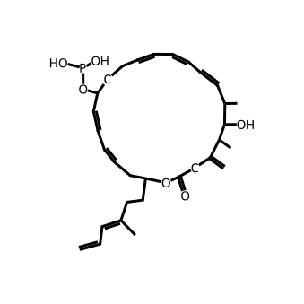 C=C/C=C(\C)CCC1C/C=C\C=C/C(OP(O)O)CC\C=C/C=C\C=C/C(C)C(O)C(C)C(=C)CC(=O)O1